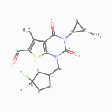 Cc1c(C=O)sc2c1c(=O)n([C@H]1C[C@@H]1C)c(=O)n2CC1CCC(F)(F)C1